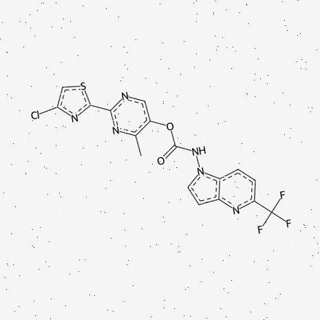 Cc1nc(-c2nc(Cl)cs2)ncc1OC(=O)Nn1ccc2nc(C(F)(F)F)ccc21